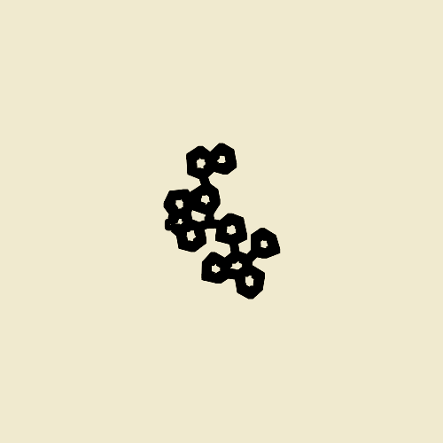 c1ccc(-c2c(-c3cccc(N(c4ccc(-c5cccc6ccccc56)cc4)c4cccc5oc6ccccc6c45)c3)c3ccccc3c3ccccc23)cc1